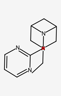 CCN1CC2CC(C1)N2Cc1ncccn1